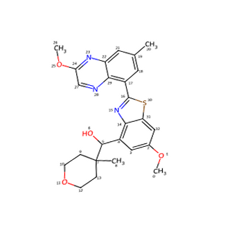 COc1cc(C(O)C2(C)CCOCC2)c2nc(-c3cc(C)cc4nc(OC)cnc34)sc2c1